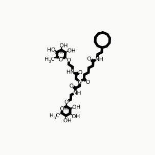 C[C@@H]1O[C@@H](OCCNC(=O)CN(CC(=O)NCCO[C@@H]2O[C@@H](C)[C@@H](O)[C@@H](O)[C@@H]2O)C(=O)CCCCC(=O)NCCC2CCCCCCCCC2)[C@@H](O)[C@H](O)[C@@H]1O